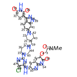 CNC(=O)COc1cc2cc(Nc3nc(N4CCCN(CC5CCN(c6ccc7c(C8CCC(=O)NC8=O)nn(C)c7c6)CC5)CC4)ncc3Cl)cnc2n(C)c1=O